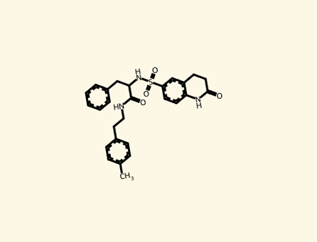 Cc1ccc(CCNC(=O)C(Cc2ccccc2)NS(=O)(=O)c2ccc3c(c2)CCC(=O)N3)cc1